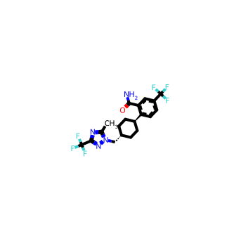 Cc1nc(C(F)(F)F)nn1C[C@H]1CC[C@H](c2ccc(C(F)(F)F)cc2C(N)=O)CC1